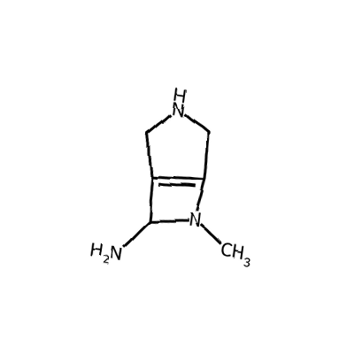 CN1C2=C(CNC2)C1N